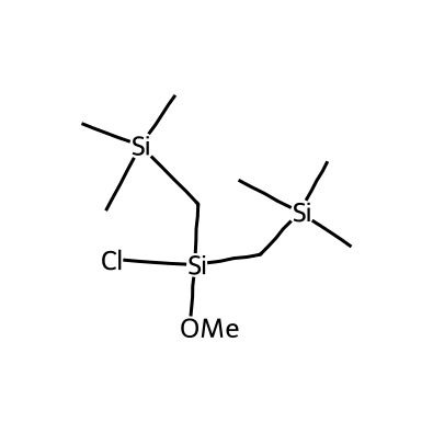 CO[Si](Cl)(C[Si](C)(C)C)C[Si](C)(C)C